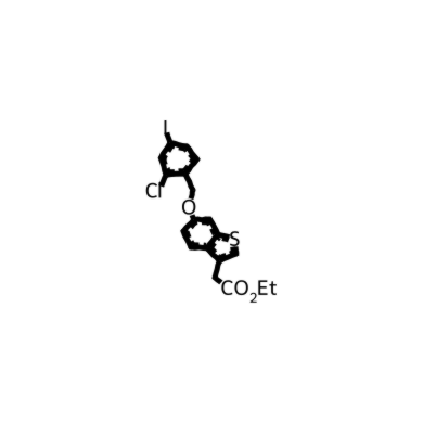 CCOC(=O)Cc1csc2cc(OCc3ccc(I)cc3Cl)ccc12